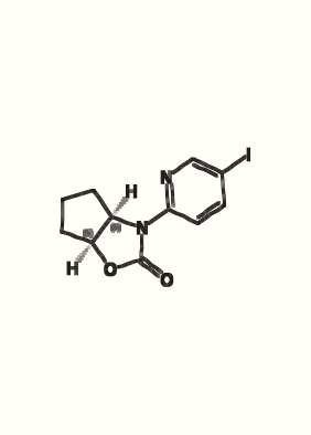 O=C1O[C@H]2CCC[C@H]2N1c1ccc(I)cn1